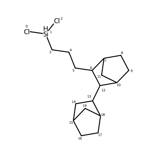 Cl[SiH](Cl)CCCC1C2CCC(C2)C1C1CC2CCC1C2